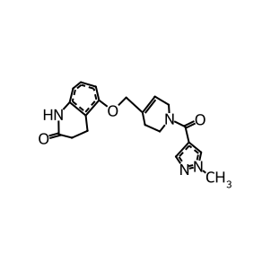 Cn1cc(C(=O)N2CC=C(COc3cccc4c3CCC(=O)N4)CC2)cn1